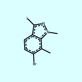 Cc1c(Br)ccc2c(I)nn(C)c12